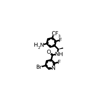 C[C@@H](NC(=O)c1cc(Br)cnc1F)c1cc(N)cc(C(F)(F)F)c1F